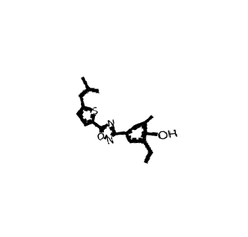 CCc1cc(-c2noc(-c3ccc(CC(C)C)s3)n2)cc(C)c1O